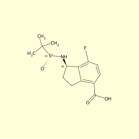 CC(C)(C)[S@@+]([O-])N[C@@H]1CCc2c(C(=O)O)ccc(F)c21